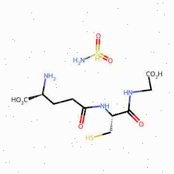 N[C@@H](CCC(=O)N[C@@H](CS)C(=O)NCC(=O)O)C(=O)O.N[SH](=O)=O